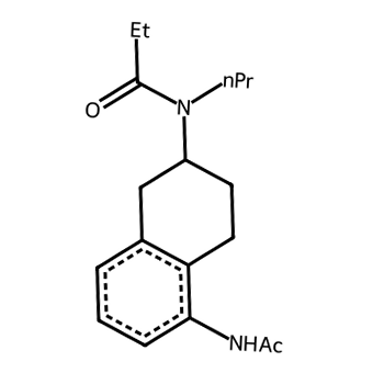 CCCN(C(=O)CC)C1CCc2c(cccc2NC(C)=O)C1